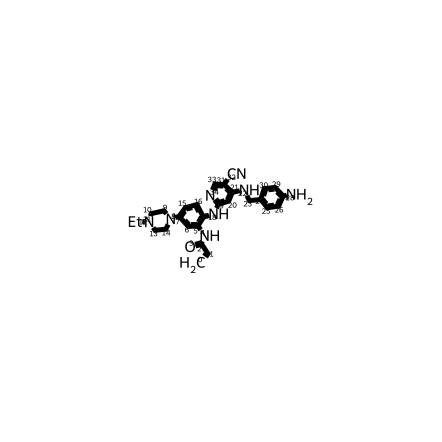 C=CC(=O)Nc1cc(N2CCN(CC)CC2)ccc1Nc1cc(NCc2ccc(N)cc2)c(C#N)cn1